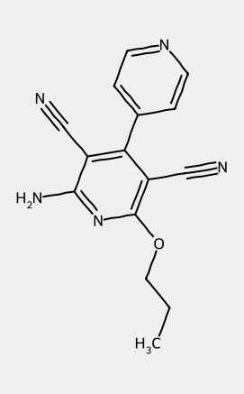 CCCOc1nc(N)c(C#N)c(-c2ccncc2)c1C#N